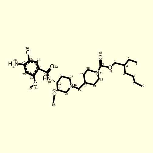 CCCCC(CC)COC(=O)N1CCC(CN2CC[C@@H](NC(=O)c3cc(Cl)c(N)cc3OC)[C@@H](OC)C2)CC1